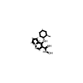 C[C@@H]1CCCC[C@@H]1Nc1c(C(=N)NO)cnn2cccc12